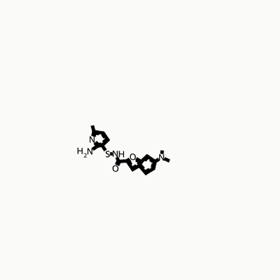 Cc1ccc(SNC(=O)c2cc3ccc(N(C)C)cc3o2)c(N)n1